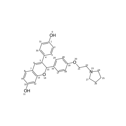 Oc1ccc(C2=Cc3ccc(O)cc3OC2c2ccc(OCCN3CCCC3)cc2)cc1